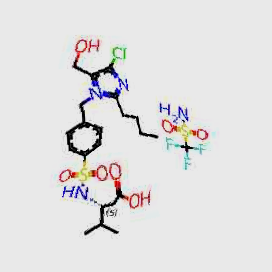 CCCCc1nc(Cl)c(CO)n1Cc1ccc(S(=O)(=O)N[C@H](C(=O)O)C(C)C)cc1.NS(=O)(=O)C(F)(F)F